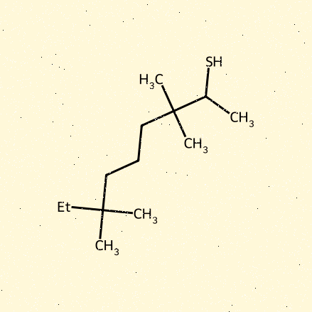 CCC(C)(C)CCCC(C)(C)C(C)S